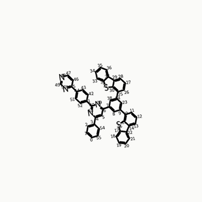 c1ccc(-c2cc(-c3cc(-c4cccc5c4sc4ccccc45)cc(-c4cccc5c4sc4ccccc45)c3)nc(-c3ccc(-c4ccncn4)cc3)n2)cc1